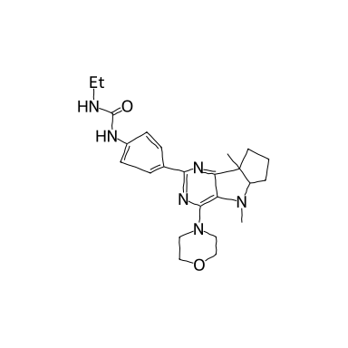 CCNC(=O)Nc1ccc(-c2nc(N3CCOCC3)c3c(n2)C2(C)CCCC2N3C)cc1